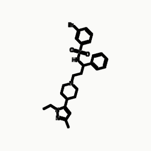 CCn1nc(C)cc1C1CCN(CCC(NS(=O)(=O)c2cccc(Br)c2)c2ccccc2)CC1